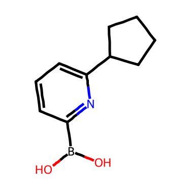 OB(O)c1cccc(C2CCCC2)n1